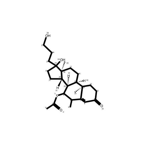 CC(=O)SC1C(C)C2=CC(=O)CC[C@]2(C)[C@@H]2CC[C@@]3(C)[C@@H](CCC3(O)CCCO)[C@H]12